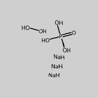 O=P(O)(O)O.OO.[NaH].[NaH].[NaH]